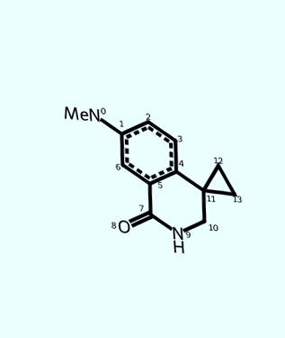 CNc1ccc2c(c1)C(=O)NCC21CC1